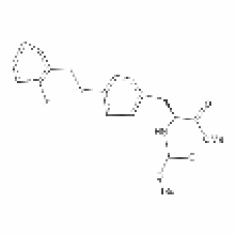 COC(=O)[C@H](Cc1ccc(NCc2ccccc2F)cc1)NC(=O)OC(C)(C)C